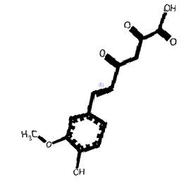 COc1cc(/C=C/C(=O)CC(=O)C(=O)O)ccc1O